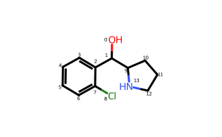 OC(c1ccccc1Cl)C1CCCN1